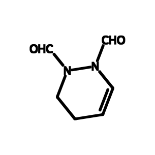 O=CN1C=CCCN1C=O